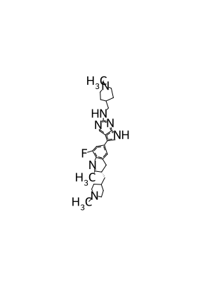 CC1=Nc2c(F)cc(-c3c[nH]c4nc(NCC5CCN(C)CC5)ncc34)cc2C[C@@H]1CC1CCN(C)CC1